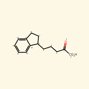 O=C(O)C(=O)CCCC1CCc2ccccc21